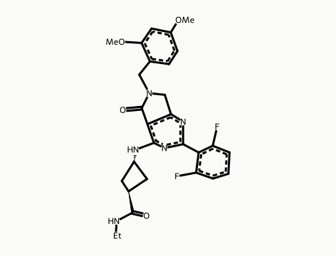 CCNC(=O)[C@H]1C[C@H](Nc2nc(-c3c(F)cccc3F)nc3c2C(=O)N(Cc2ccc(OC)cc2OC)C3)C1